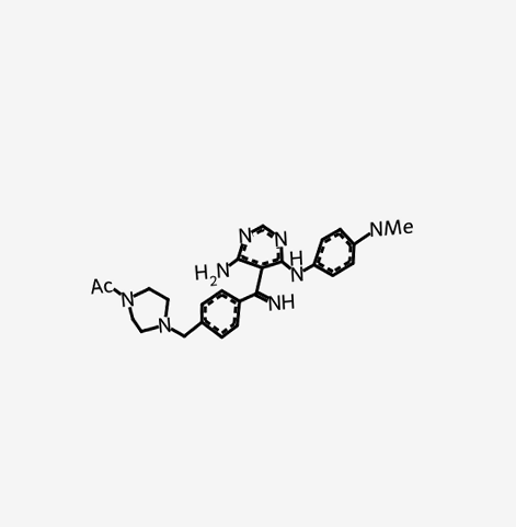 CNc1ccc(Nc2ncnc(N)c2C(=N)c2ccc(CN3CCN(C(C)=O)CC3)cc2)cc1